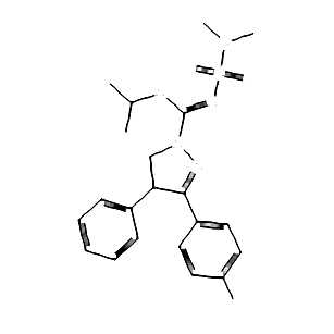 CC(C)N/C(=N\S(=O)(=O)N(C)C)N1CC(c2ccccc2)C(c2ccc(Cl)cc2)=N1